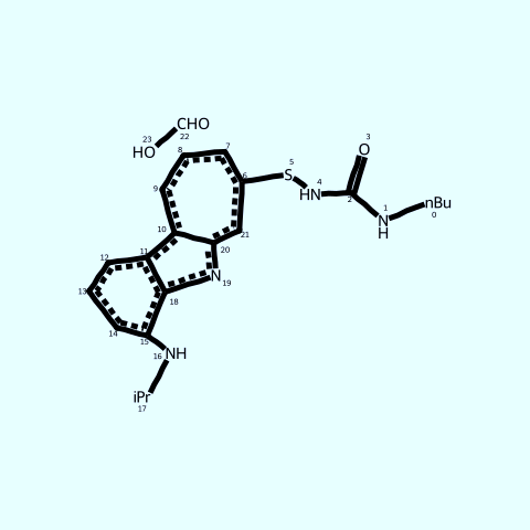 CCCCNC(=O)NSc1cccc2c3cccc(NC(C)C)c3nc-2c1.O=CO